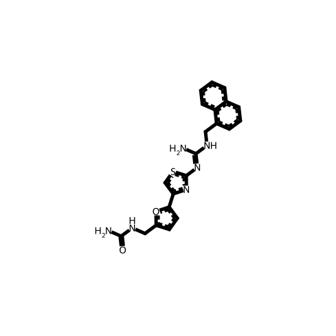 NC(=O)NCc1ccc(-c2csc(/N=C(\N)NCc3cccc4ccccc34)n2)o1